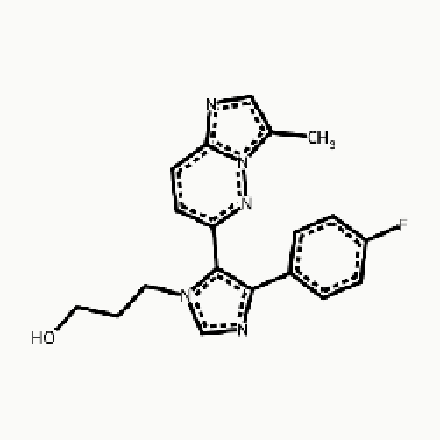 Cc1cnc2ccc(-c3c(-c4ccc(F)cc4)ncn3CCCO)nn12